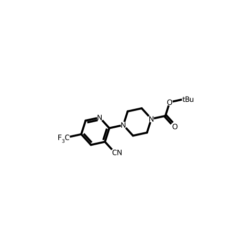 CC(C)(C)OC(=O)N1CCN(c2ncc(C(F)(F)F)cc2C#N)CC1